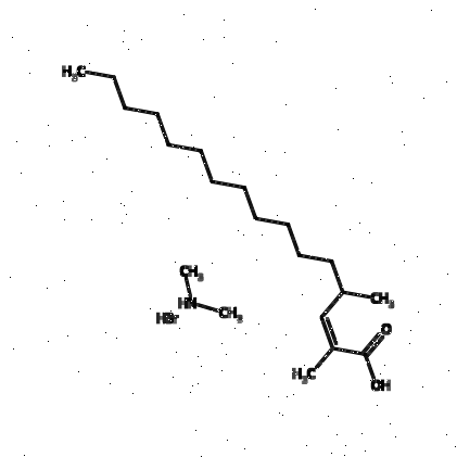 Br.CCCCCCCCCCCCC(C)C=C(C)C(=O)O.CNC